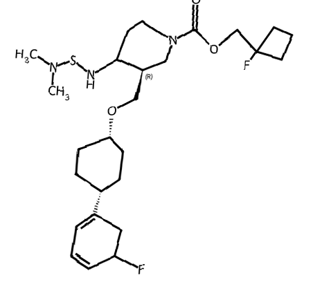 CN(C)SNC1CCN(C(=O)OCC2(F)CCC2)C[C@H]1CO[C@H]1CC[C@@H](C2=CC=CC(F)C2)CC1